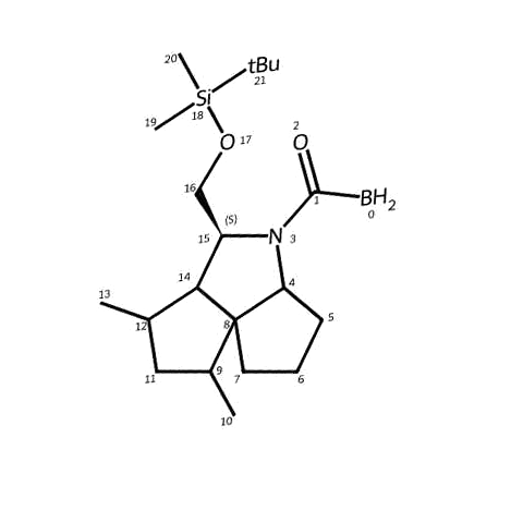 BC(=O)N1C2CCCC23C(C)CC(C)C3[C@H]1CO[Si](C)(C)C(C)(C)C